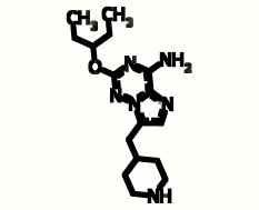 CCC(CC)Oc1nc(N)c2ncc(CC3CCNCC3)n2n1